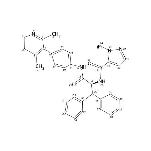 Cc1ccnc(C)c1-c1ccc(NC(=O)[C@@H](NC(=O)c2ccnn2C(C)C)C(c2ccccc2)c2ccccc2)cc1